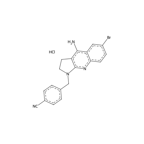 Cl.N#Cc1ccc(CN2CCc3c2nc2ccc(Br)cc2c3N)cc1